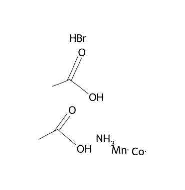 Br.CC(=O)O.CC(=O)O.N.[Co].[Mn]